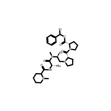 CCC(OC(=O)[C@@H]1CCCN1C(=O)[C@@H]1CCCN1C[C@H](C(C)C)N(C)C(=O)[C@@H](NC(=O)C1CCCCN1C)C(C)(C)C)c1ccccc1